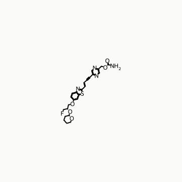 NC(=O)OCc1cnc(C#C/C=C/c2nc3ccc(OCC(CF)OC4CCCCO4)cc3s2)cn1